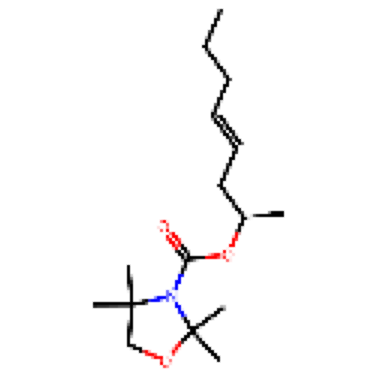 CCC/C=C/C[C@@H](C)OC(=O)N1C(C)(C)COC1(C)C